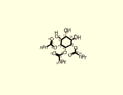 CCCC(=O)O[C@@H]1[C@H](OC(=O)CCC)[C@@H](O)[C@H](O)[C@@H](O)[C@@H]1OC(=O)CCC